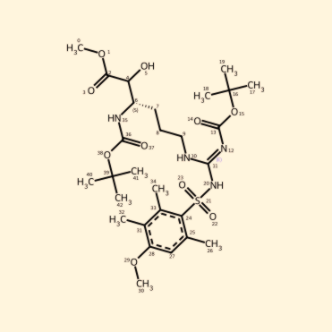 COC(=O)C(O)[C@H](CCCN/C(=N\C(=O)OC(C)(C)C)NS(=O)(=O)c1c(C)cc(OC)c(C)c1C)NC(=O)OC(C)(C)C